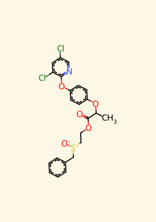 CC(Oc1ccc(Oc2ncc(Cl)cc2Cl)cc1)C(=O)OCC[S+]([O-])Cc1ccccc1